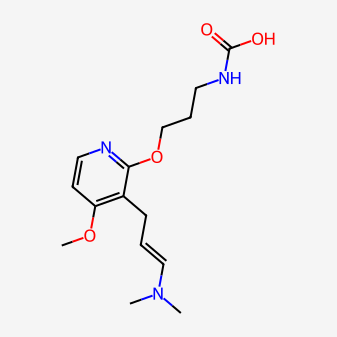 COc1ccnc(OCCCNC(=O)O)c1C/C=C/N(C)C